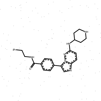 CC(C)CCNC(=O)c1ccc(-c2cnc3ccc(NC4CCNCC4)nn23)cc1